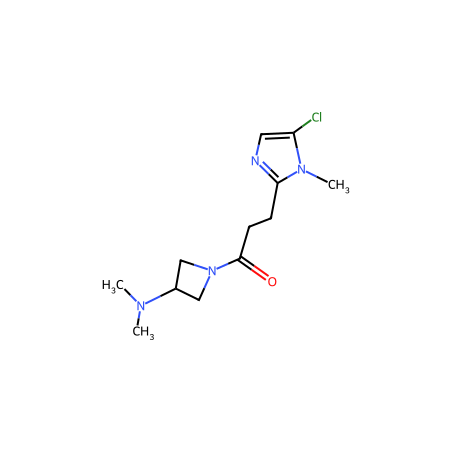 CN(C)C1CN(C(=O)CCc2ncc(Cl)n2C)C1